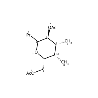 CC(=O)OC[C@@H]1OC(C(C)C)[C@@H](OC(C)=O)[C@H](C)[C@@H]1C